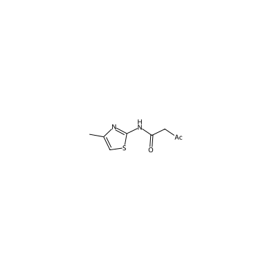 CC(=O)CC(=O)Nc1nc(C)cs1